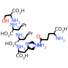 CC(C)C[C@H](N)C(=O)O.CC(C)C[C@H](N)C(=O)O.NC(=O)CC[C@H](N)C(=O)O.N[C@@H](CO)C(=O)O.N[C@@H](Cc1c[nH]cn1)C(=O)O